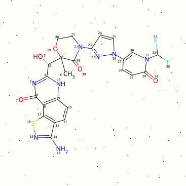 CC1([C@@H](O)c2nc(=O)c3c(ccc4c(N)nsc43)[nH]2)OCCN(c2ccn(-c3ccc(=O)n(C(F)F)c3)n2)C1=O